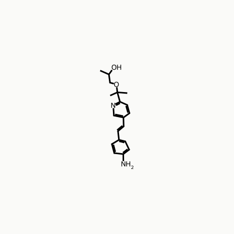 CC(O)COC(C)(C)c1ccc(/C=C/c2ccc(N)cc2)cn1